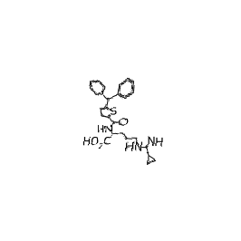 N=C(NCCC[C@H](NC(=O)c1ccc(C(c2ccccc2)c2ccccc2)s1)C(=O)O)C1CC1